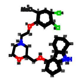 COc1cc(Cl)c(Cl)cc1OCCN1CCOC(COc2cccc3[nH]c4ccccc4c23)C1